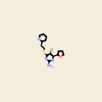 Nc1nc(SCCc2ccccn2)c(Cl)c(-c2ccco2)n1